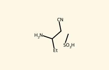 CCC(N)CC#N.CS(=O)(=O)O